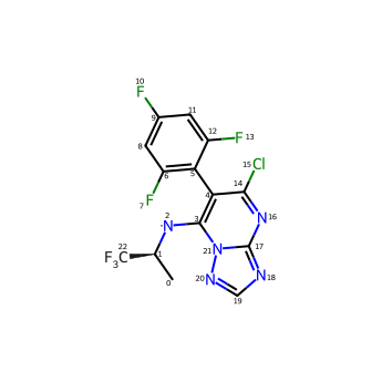 C[C@H]([N]c1c(-c2c(F)cc(F)cc2F)c(Cl)nc2ncnn12)C(F)(F)F